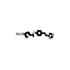 COc1ccc(C(C)Oc2ccc(CCn3cncn3)cc2)cc1